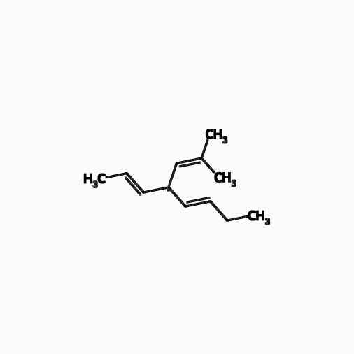 CC=C[C](C=CCC)C=C(C)C